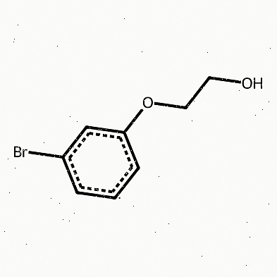 OCCOc1c[c]cc(Br)c1